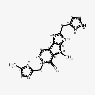 Cc1csc(Cn2ncc3c4sc(Cc5cc[nH]n5)nc4n(C)c3c2=O)n1